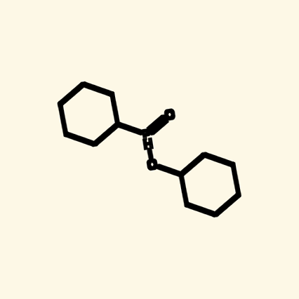 O=[PH](OC1CCCCC1)C1CCCCC1